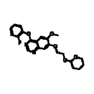 COc1cc2c(Oc3ccc[c]c3F)ncnc2cc1OCCOC1CCCCO1